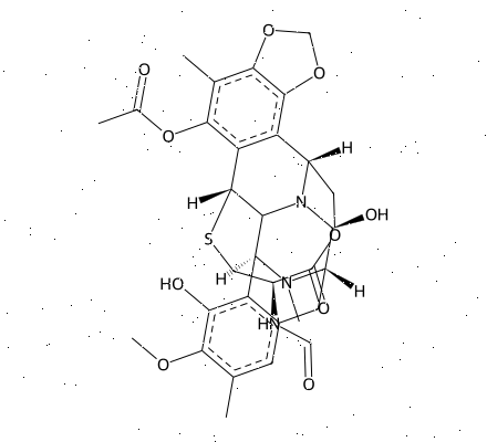 COc1c(C)cc2c(c1O)[C@H]1C3[C@@H]4SC[C@H](NC=O)C(=O)OC[C@@H](c5c6c(c(C)c(OC(C)=O)c54)OCO6)N3[C@@H](O)[C@H](C2)N1C